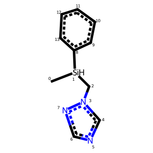 C[SiH](Cn1cncn1)c1ccccc1